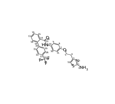 Nc1nc(CCOc2ccc(NC(=O)c3ccccc3-c3ccc(C(F)(F)F)cc3)cc2)cs1